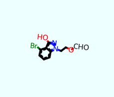 O=COCCn1nc(O)c2c(Br)cccc21